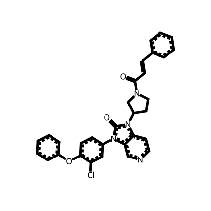 O=C(C=Cc1ccccc1)N1CCC(n2c(=O)n(-c3ccc(Oc4ccccc4)c(Cl)c3)c3cnccc32)C1